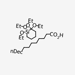 CCCCCCCCCCCCCCCCCC(=O)O.CCOC1(OCC)CCCC[Si]1(OCC)OCC